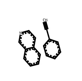 C#Cc1ccccc1.c1ccc2cnccc2c1